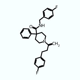 C=C(CCc1ccc(F)cc1)N1CCC(C(=O)NCc2ccc(F)cc2)(c2ccccc2)CC1